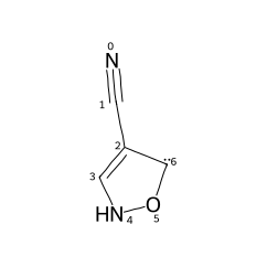 N#CC1=CNO[C]1